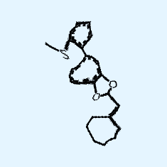 CSc1ccccc1-c1ccc2c(c1)OC(C=C1CCCCCC1)O2